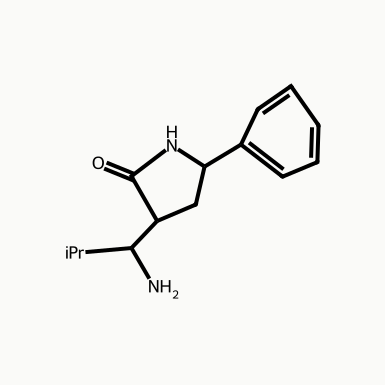 CC(C)C(N)C1CC(c2ccccc2)NC1=O